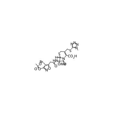 CO[C@@]1(NC(=O)Cc2onc(OS(C)(=O)=O)c2Br)C(=O)N2C(C(=O)O)=C(CSc3nnnn3C)CS[C@H]21